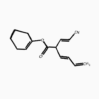 C=CC=CC(C=CC#N)C(=O)OC1=CCCCC1